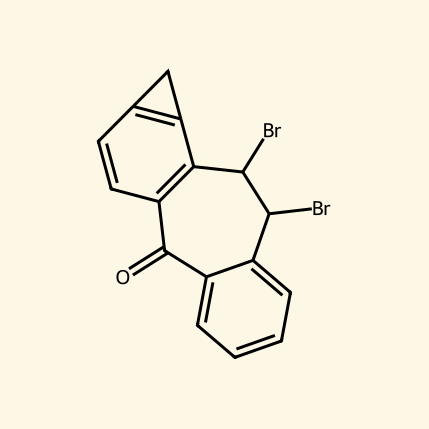 O=C1c2ccccc2C(Br)C(Br)c2c1ccc1c2C1